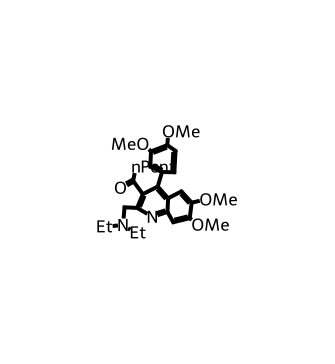 CCCCCC(=O)c1c(CN(CC)CC)nc2cc(OC)c(OC)cc2c1-c1ccc(OC)c(OC)c1